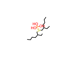 CCCCC(CC)CS(CC(CC)CCCC)=P(O)(O)O